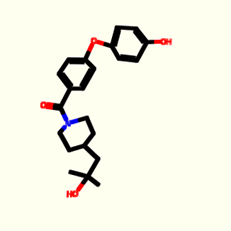 CC(C)(O)CC1CCN(C(=O)c2ccc(Oc3ccc(O)cc3)cc2)CC1